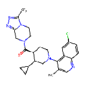 N#Cc1cnc2ccc(Cl)cc2c1N1CC[C@H](C(=O)N2CCn3c(nnc3C(F)(F)F)C2)C(C2CC2)C1